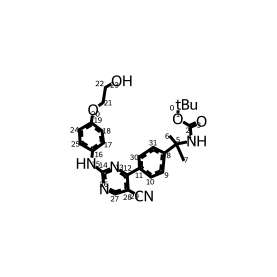 CC(C)(C)OC(=O)NC(C)(C)c1ccc(-c2nc(Nc3ccc(OCCO)cc3)ncc2C#N)cc1